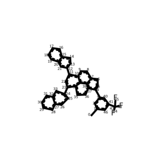 Cc1cc(-c2ccc3ccc4c(-c5ccc6ccccc6c5)cc(-c5ccc6ccccc6c5)c5ccc2c3c45)cc(C(F)(F)F)c1